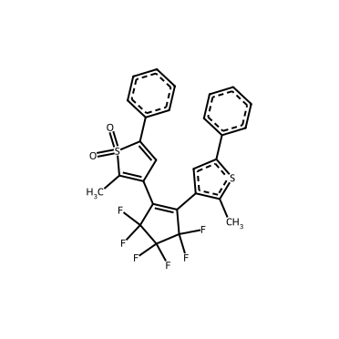 CC1=C(C2=C(c3cc(-c4ccccc4)sc3C)C(F)(F)C(F)(F)C2(F)F)C=C(c2ccccc2)S1(=O)=O